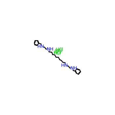 Cl.Cl.Cl.Cl.c1ccc(CNCCNCCCCCCCCCCNCCNCc2ccccc2)cc1